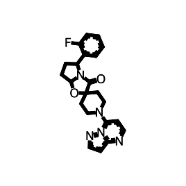 O=C1N2C(CCC2c2ccccc2F)OC12CCN(c1ccnc3ccnn13)CC2